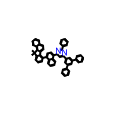 CC1(C)c2cccc(-c3ccc(-c4cc(-c5cc(-c6ccccc6)cc(-c6ccccc6)c5)nc(-c5ccccc5)n4)c4ccccc34)c2-c2ccc3ccccc3c21